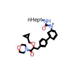 CCCCCCCNC(=O)N(C)c1cccc(-c2ccc(CC(OCC3CC3)C(=O)N3CCOCC3)cc2)c1